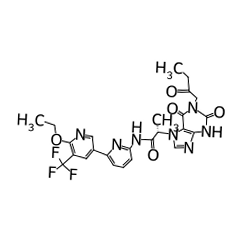 CCOc1ncc(-c2cccc(NC(=O)[C@H](C)n3cnc4[nH]c(=O)n(CC(=O)CC)c(=O)c43)n2)cc1C(F)(F)F